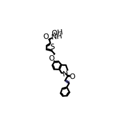 O=C(NO)c1ccc(COc2ccc3c(c2)CCN(C(=O)/C=C/c2ccccc2)C3)s1